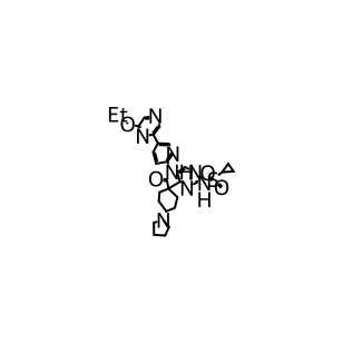 CCOc1cncc(-c2ccc(NC(=O)C3(c4ccnc(NS(=O)(=O)C5CC5)n4)CCC(N4CCCC4)CC3)nc2)n1